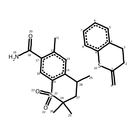 C=C1CCc2ccccc2S1.Cc1cc2c(cc1C(N)=O)S(=O)(=O)C(C)(C)CC2C